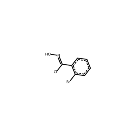 ON=C(Cl)c1ccccc1Br